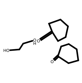 O=C1CCCCC1.O=C1CCCCC1.OCCO